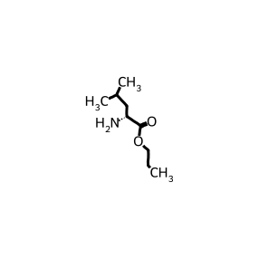 CCCOC(=O)[C@H](N)CC(C)C